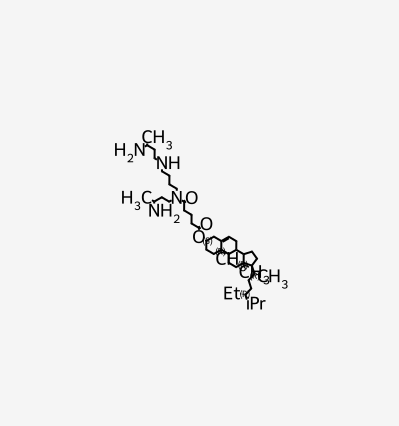 CC[C@H](CC[C@@H](C)C1CCC2C3CC=C4C[C@@H](OC(=O)CCCC(=O)N(CCCCNCCC(C)N)CCC(C)N)CC[C@]4(C)C3CC[C@@]21C)C(C)C